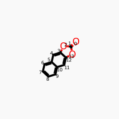 O=c1oc2cc3ccccc3cc2o1